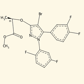 COC(=O)[C@@H](C)Oc1nn(-c2cc(F)ccc2F)c(-c2ccc(F)c(F)c2)c1Br